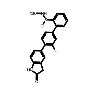 CC(C)(C)N[S+]([O-])c1ccccc1-c1ccc(-c2ccc3c(c2)CC(=O)N3)c(F)c1